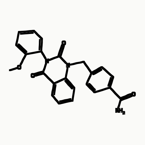 COc1ccccc1-n1c(=O)c2ccccc2n(Cc2ccc(C(N)=O)cc2)c1=O